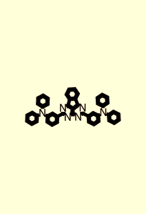 c1ccc(N(c2ccccc2)c2cccc(-c3nc4c5c(nc(-c6cccc(N(c7ccccc7)c7ccccc7)c6)nc5n3)-c3ccccc3-4)c2)cc1